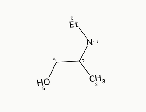 CC[N]C(C)CO